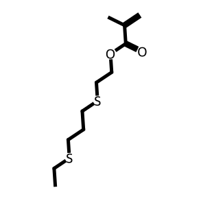 C=C(C)C(=O)OCCSCCCSCC